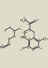 CCC(CCN=N)C[C@@H](Nc1nc(Cl)ncc1F)C(C)C(N)=O